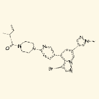 C=CC(C)C(=O)N1CCN(c2ccc(-c3cc(-c4cnn(C)c4)cn4ncc(Br)c34)cn2)CC1